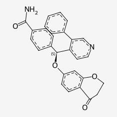 NC(=O)c1ccc([C@H](Oc2ccc3c(c2)OCCC3=O)c2ccncc2-c2ccccc2)cc1